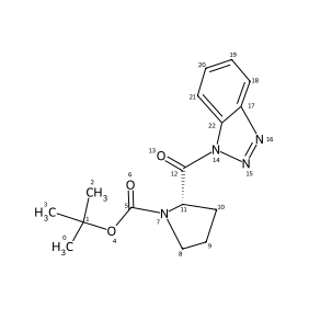 CC(C)(C)OC(=O)N1CCC[C@H]1C(=O)n1nnc2ccccc21